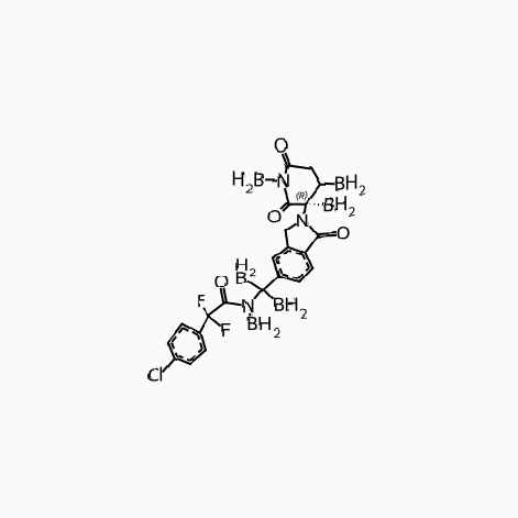 BC1CC(=O)N(B)C(=O)[C@]1(B)N1Cc2cc(C(B)(B)N(B)C(=O)C(F)(F)c3ccc(Cl)cc3)ccc2C1=O